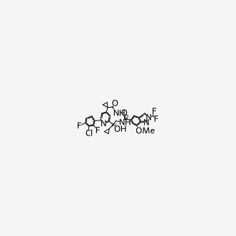 COc1cc(C(=O)NC[C@](O)(c2cc(C3(C(N)=O)CC3)cc(-c3ccc(F)c(Cl)c3F)n2)C2CC2)cc2cn(C(F)F)nc12